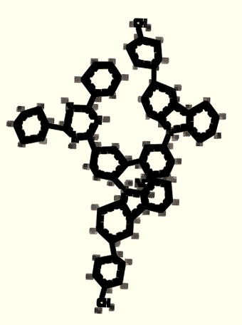 Cc1ccc(-c2ccc3c(c2)c2ccccc2n3-c2ccc(C#N)c(-c3cc(-c4nc(-c5ccccc5)nc(-c5ccccc5)n4)ccc3-n3c4ccccc4c4cc(-c5ccc(C)cc5)ccc43)c2)cc1